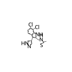 CC(=S)NCc1[nH]c2c(Cl)c(Cl)ccc2c1-c1cn[nH]c1